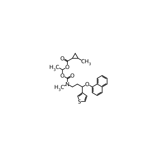 CC(OC(=O)C1CC1C)OC(=O)N(C)CCC(Oc1cccc2ccccc12)c1ccsc1